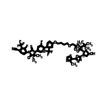 Cc1ncsc1-c1nnc([C@@H]2C[C@@H](O)CN2C(=O)[C@@H](NC(=O)COCCCCOc2ccc(-c3ncc(N4C(=S)N(c5ccc(C#N)c(C(F)(F)F)c5F)C(=O)C4(C)C)cc3F)c(C(F)(F)F)c2)C(C)(C)C)o1